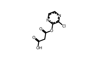 O=C(O)CC(=O)Oc1nccnc1Cl